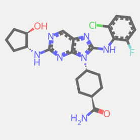 NC(=O)[C@H]1CC[C@H](n2c(Nc3c(F)cccc3Cl)nc3cnc(N[C@@H]4CCC[C@H]4O)nc32)CC1